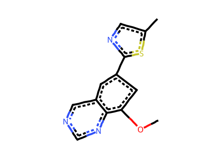 COc1cc(-c2ncc(C)s2)cc2cncnc12